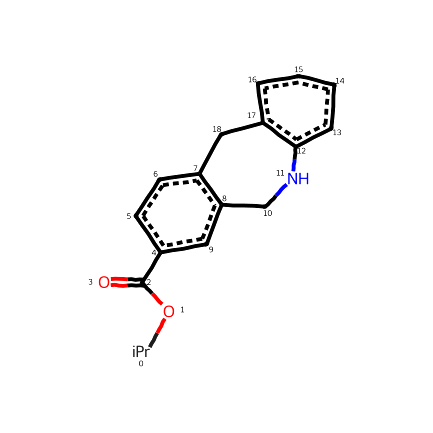 CC(C)OC(=O)c1ccc2c(c1)CNc1ccccc1C2